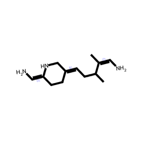 C/C(=C/N)C(C)C/C=C1\CC/C(=C/N)NC1